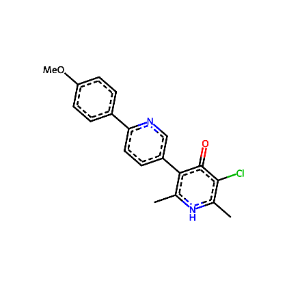 COc1ccc(-c2ccc(-c3c(C)[nH]c(C)c(Cl)c3=O)cn2)cc1